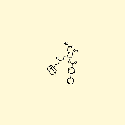 O=C(O)C[C@@H]1[C@@H](C=CC(=O)CCC23CC4CC(CC(C4)C2)C3)[C@H](OC(=O)c2ccc(-c3ccccc3)cc2)C[C@@H]1O